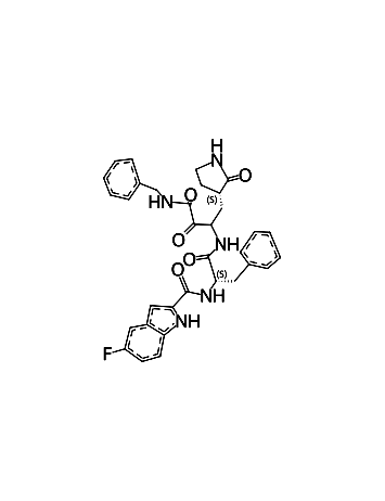 O=C(NCc1ccccc1)C(=O)C(C[C@@H]1CCNC1=O)NC(=O)[C@H](Cc1ccccc1)NC(=O)c1cc2cc(F)ccc2[nH]1